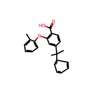 Cc1ccccc1Oc1cc(C(C)(C)c2ccccc2)ccc1C(=O)O